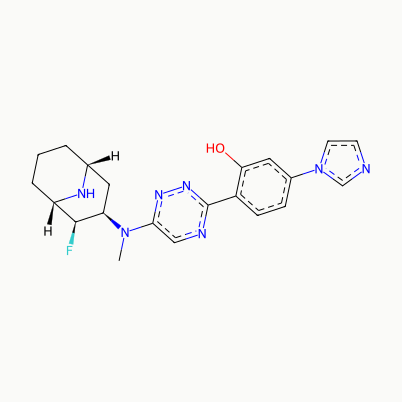 CN(c1cnc(-c2ccc(-n3ccnc3)cc2O)nn1)[C@@H]1C[C@H]2CCC[C@H](N2)[C@@H]1F